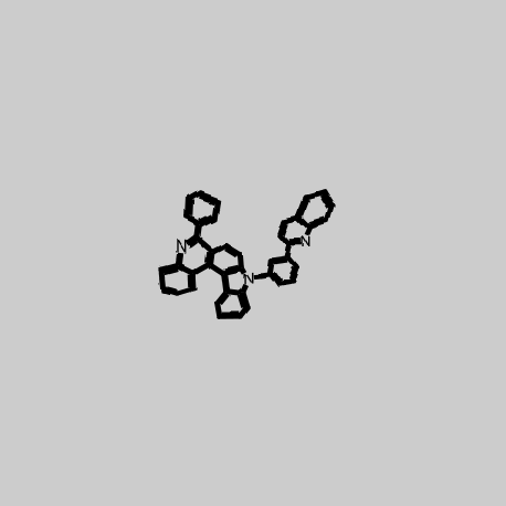 c1ccc(-c2nc3ccccc3c3c2ccc2c3c3ccccc3n2-c2cccc(-c3ccc4ccccc4n3)c2)cc1